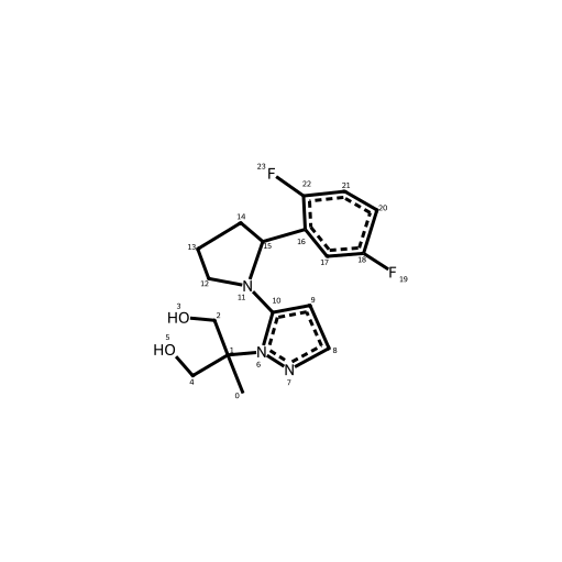 CC(CO)(CO)n1nccc1N1CCCC1c1cc(F)ccc1F